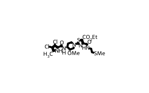 CCOC(=O)c1sc(N2CC[C@@H](NC(=O)c3[nH]c(C)c(Cl)c3Cl)[C@@H](OC)C2)nc1C(=O)NCCSC